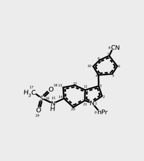 CCCn1cc(-c2ccc(C#N)cc2)c2ccc(NS(C)(=O)=O)cc21